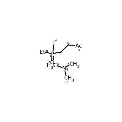 CCP(=O)(I)CCC(C)=O.CN(C)C